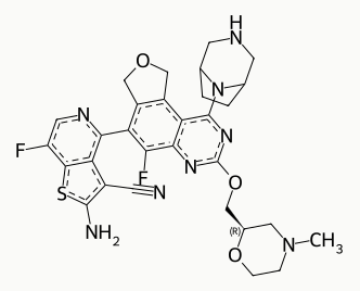 CN1CCO[C@@H](COc2nc(N3C4CCC3CNC4)c3c4c(c(-c5ncc(F)c6sc(N)c(C#N)c56)c(F)c3n2)COC4)C1